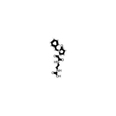 O=C(O)NCCNC(=O)C(=O)[C@H]1CCC(=O)N1Cc1ccccc1